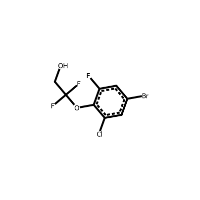 OCC(F)(F)Oc1c(F)cc(Br)cc1Cl